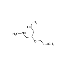 C=CCOC(CNC)CNC